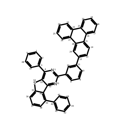 c1ccc(-c2nc(-c3cccc(-c4ccc5c6ccccc6c6ccccc6c5c4)c3)nc3c2sc2cccc(-c4ccccc4)c23)cc1